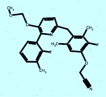 COCOc1ccc(Cc2c(C)cc(OCC#N)c(F)c2C)nc1-c1cccc(C)c1F